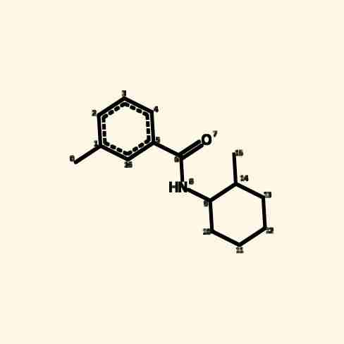 Cc1cccc(C(=O)NC2CCCCC2C)c1